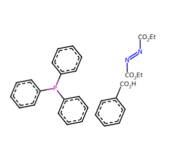 CCOC(=O)/N=N/C(=O)OCC.O=C(O)c1ccccc1.c1ccc(P(c2ccccc2)c2ccccc2)cc1